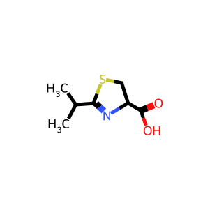 CC(C)C1=NC(C(=O)O)CS1